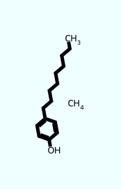 C.CCCCCCCCCc1ccc(O)cc1